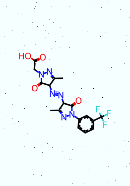 CC1=NN(CC(=O)O)C(=O)C1/N=N/C1C(=O)N(c2cccc(C(F)(F)F)c2)N=C1C